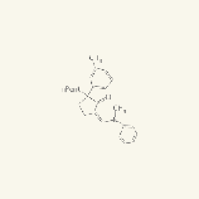 CCCCCC1(c2cccc(C)c2)CC/C(=C/N(C)c2ccccc2)C1=O